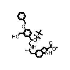 COC(=O)c1cc2cc(C[C@@H](C)NC[C@H](O[Si](C)(C)C(C)(C)C)c3ccc(OCc4ccccc4)c(CO)c3)ccc2[nH]1